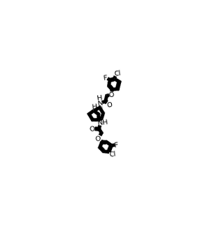 O=C(COc1ccc(Cl)c(F)c1)N[C@H]1CC[C@@]2(NC(=O)COc3ccc(Cl)c(F)c3)CC[C@@H]1C2